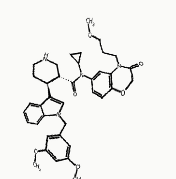 COCCCN1C(=O)COc2ccc(N(C(=O)[C@H]3CNCC[C@@H]3c3cn(Cc4cc(OC)cc(OC)c4)c4ccccc34)C3CC3)cc21